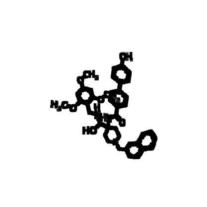 COc1cc(OC)c(CNC(O)C2(NC(=O)c3ccc(-c4ccc(O)cc4)cc3)CCN(Cc3ccc4ccccc4c3)CC2)c(OC)c1